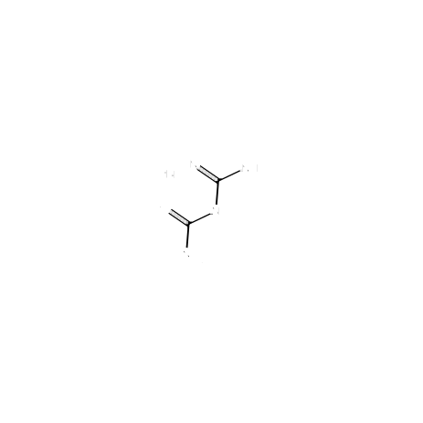 N=C(N)NC(N)=O.[PbH2]